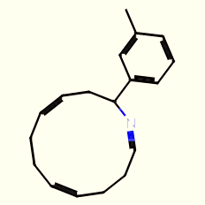 Cc1cccc(C2CC=CCCC=CCCC=N2)c1